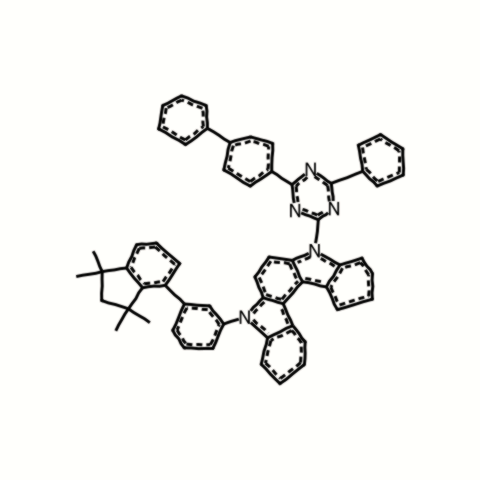 CC1(C)CC(C)(C)c2c(-c3cccc(-n4c5ccccc5c5c6c7ccccc7n(-c7nc(-c8ccccc8)nc(-c8ccc(-c9ccccc9)cc8)n7)c6ccc54)c3)cccc21